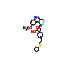 COc1ccc2ncc(CF)c([C@@H](F)CCC3(C(=O)O)CCN(CCSC4CCCC4)CC3)c2c1